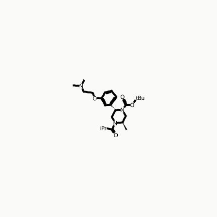 CC(C)C(=O)N1C[C@H](c2cccc(OCCN(C)C)c2)N(C(=O)OC(C)(C)C)C[C@H]1C